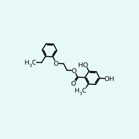 CCc1ccccc1OCCOC(=O)c1c(C)cc(O)cc1O